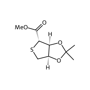 COC(=O)[C@H]1SC[C@@H]2OC(C)(C)O[C@@H]21